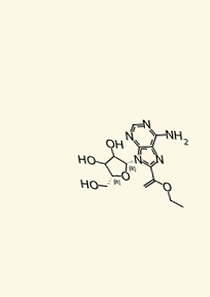 C=C(OCC)c1nc2c(N)ncnc2n1[C@@H]1O[C@H](CO)C(O)C1O